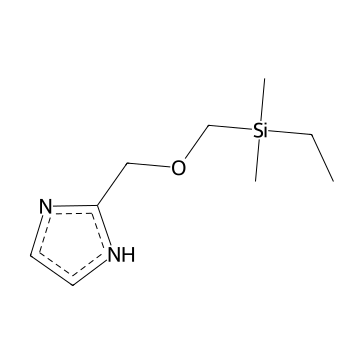 CC[Si](C)(C)COCc1ncc[nH]1